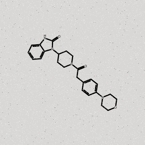 O=C(Cc1ccc(N2CCOCC2)cc1)N1CCC(n2c(=O)[nH]c3ccccc32)CC1